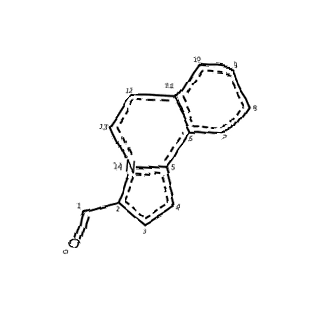 O=Cc1ccc2c3ccccc3ccn12